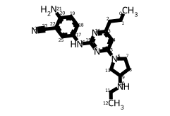 CCCc1cc(N2CCC(NCC)C2)nc(Nc2ccc(N)c(C#N)c2)n1